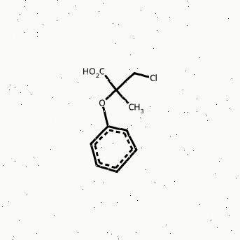 CC(CCl)(Oc1ccccc1)C(=O)O